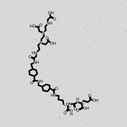 O=C(O)CC[C@H](NC(=O)N[C@@H](CCCCNC(=O)C1CCC(CNC(=O)C2CCC(CNC(=O)CNCCN(CCN(CCNCC(=O)O)CC(=O)O)CC(=O)O)CC2)CC1)C(=O)O)C(=O)O